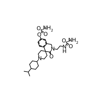 CC(C)C1CCC(N2CCC3(CC2)C(=O)N(CCNS(N)(=O)=O)Cc2cc(OS(N)(=O)=O)ccc23)CC1